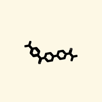 CC(C)C(=O)N1CCC(C2CCN(C(=O)c3ccc(C(C)C)cc3)CC2)CC1